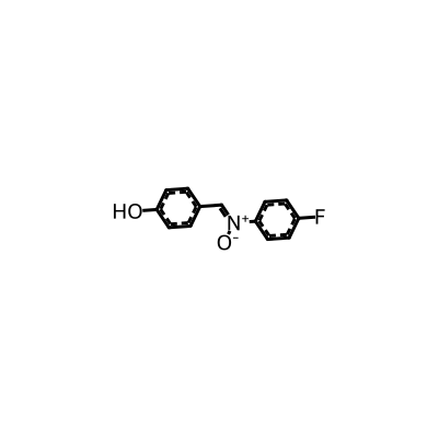 [O-][N+](=Cc1ccc(O)cc1)c1ccc(F)cc1